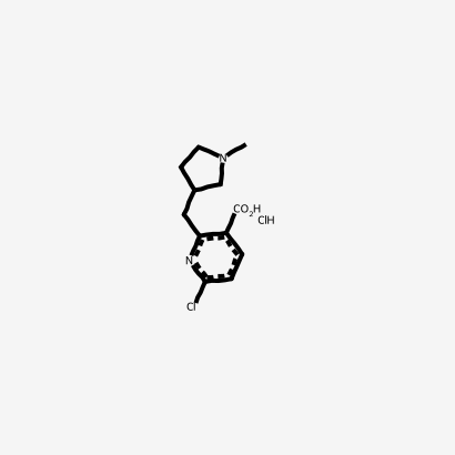 CN1CCC(Cc2nc(Cl)ccc2C(=O)O)C1.Cl